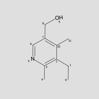 CCc1c(C)ncc(CO)c1C